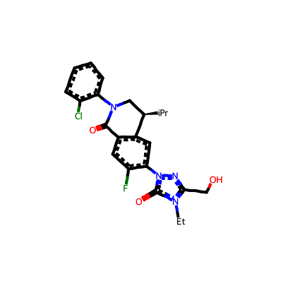 CCn1c(CO)nn(-c2cc3c(cc2F)C(=O)N(c2ccccc2Cl)C[C@H]3C(C)C)c1=O